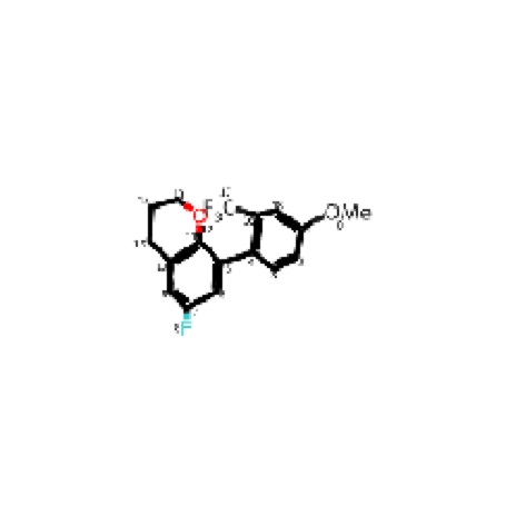 COc1ccc(-c2cc(F)cc3c2OCCC3)c(C(F)(F)F)c1